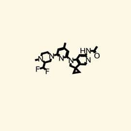 CC(=O)Nc1cc2c(cn1)C1(CC1)CN2c1cc(C)cc(N2CCN(C)C(C(F)F)C2)n1